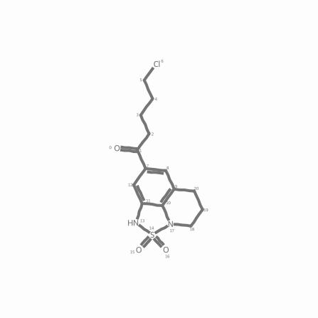 O=C(CCCCCl)c1cc2c3c(c1)NS(=O)(=O)N3CCC2